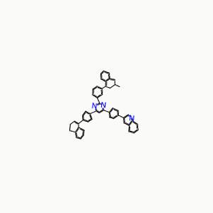 CC1C=c2ccccc2=C(c2cccc(-c3nc(-c4ccc(C5=CCCc6ccccc65)cc4)cc(-c4ccc(-c5cnc6ccccc6c5)cc4)n3)c2)C1